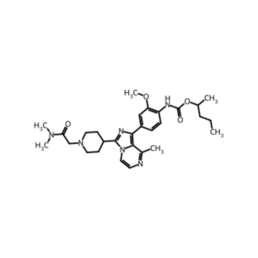 CCCC(C)OC(=O)Nc1ccc(-c2nc(C3CCN(CC(=O)N(C)C)CC3)n3ccnc(C)c23)cc1OC